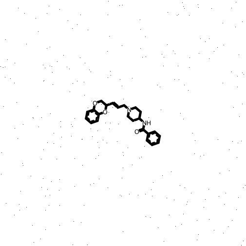 O=C(NC1CCN(CC=CC2COc3ccccc3O2)CC1)c1ccccc1